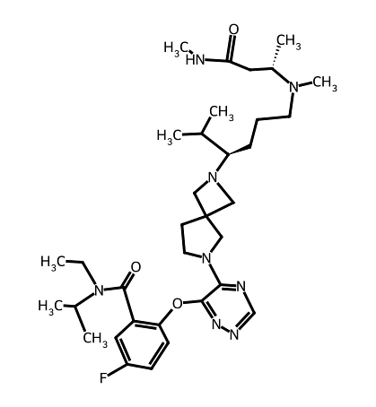 CCN(C(=O)c1cc(F)ccc1Oc1nncnc1N1CCC2(C1)CN([C@H](CCCN(C)[C@@H](C)CC(=O)NC)C(C)C)C2)C(C)C